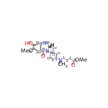 COC(=O)CCCN(C)c1ccc2c(c1)C[C@H]1C=Nc3cc(O)c(OC)cc3C(=O)N21